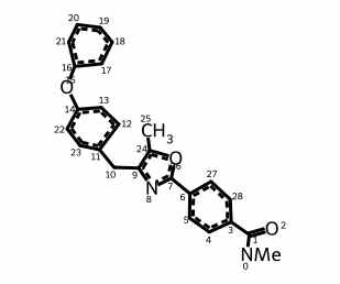 CNC(=O)c1ccc(-c2nc(Cc3ccc(Oc4ccccc4)cc3)c(C)o2)cc1